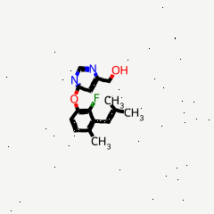 CC(C)=Cc1c(C)ccc(Oc2cc(CO)ncn2)c1F